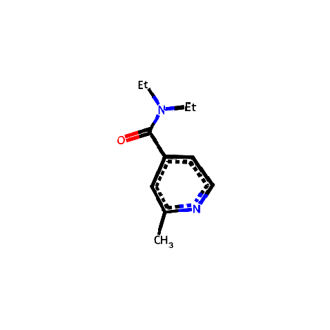 CCN(CC)C(=O)c1ccnc(C)c1